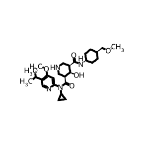 COC[C@H]1CC[C@H](NC(=O)[C@@H]2CNC[C@H](C(=O)N(c3cc(OC)c(C(C)C)cn3)C3CC3)[C@@H]2O)CC1